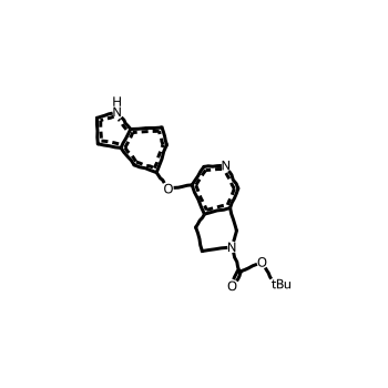 CC(C)(C)OC(=O)N1CCc2c(cncc2Oc2ccc3[nH]ccc3c2)C1